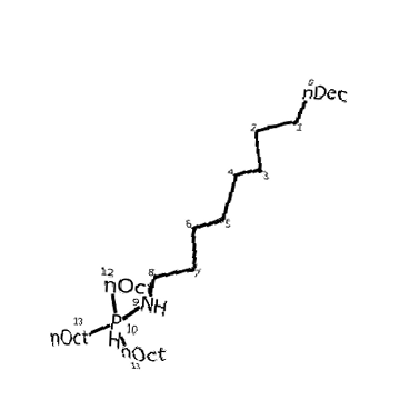 CCCCCCCCCCCCCCCCCCN[PH](CCCCCCCC)(CCCCCCCC)CCCCCCCC